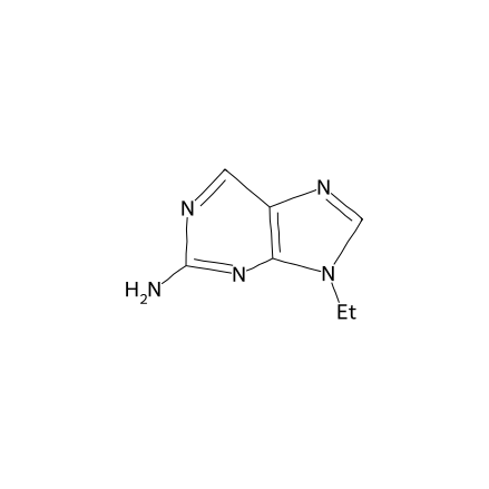 CCn1cnc2cnc(N)nc21